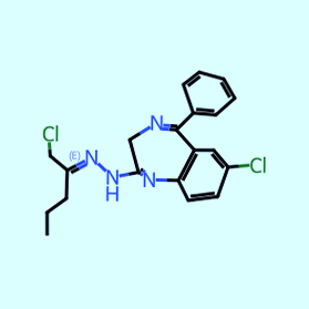 CCC/C(CCl)=N\NC1=Nc2ccc(Cl)cc2C(c2ccccc2)=NC1